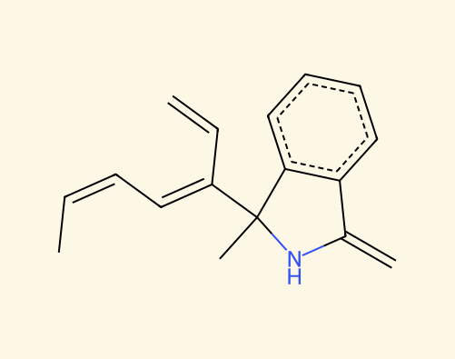 C=C/C(=C\C=C/C)C1(C)NC(=C)c2ccccc21